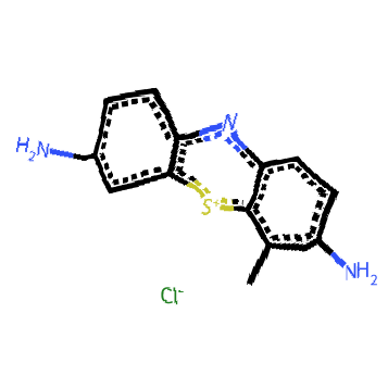 Cc1c(N)ccc2nc3ccc(N)cc3[s+]c12.[Cl-]